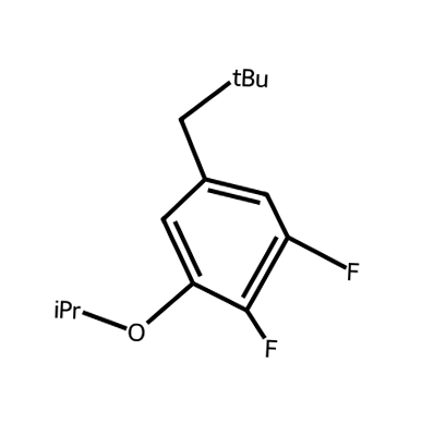 CC(C)Oc1cc(CC(C)(C)C)cc(F)c1F